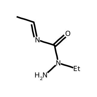 CC=NC(=O)N(N)CC